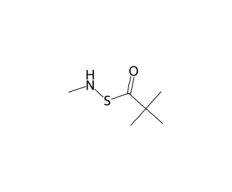 CNSC(=O)C(C)(C)C